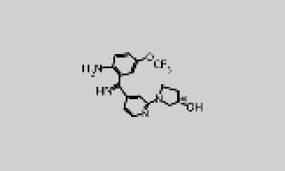 N=C(c1ccnc(N2CC[C@@H](O)C2)c1)c1cc(OC(F)(F)F)ccc1N